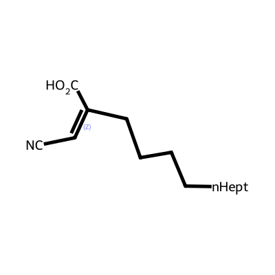 CCCCCCCCCCC/C(=C/C#N)C(=O)O